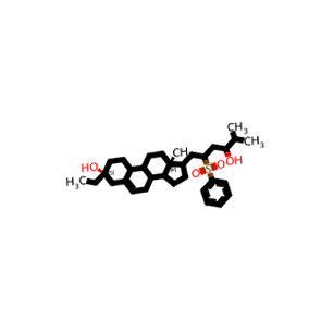 CC[C@]1(O)CCC2C(=CCC3C2CC[C@]2(C)C(CC(CC(O)C(C)C)S(=O)(=O)c4ccccc4)CCC32)C1